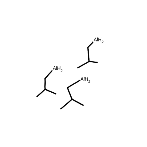 CC(C)[CH2][AlH2].CC(C)[CH2][AlH2].CC(C)[CH2][AlH2]